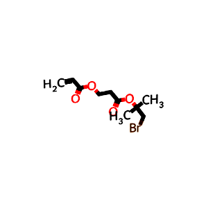 C=CC(=O)OCCC(=O)OC(C)(C)CBr